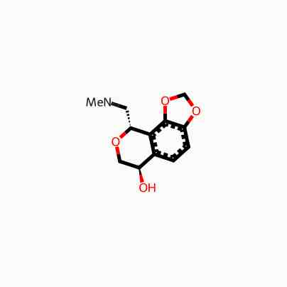 CNC[C@H]1OC[C@H](O)c2ccc3c(c21)OCO3